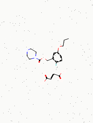 CCCOc1ccc(F)c(COC(=O)N2CCNC[C@H]2C)c1.O=C(O)C=CC(=O)O